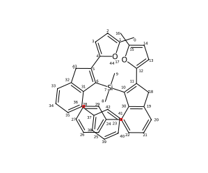 Cc1ccc(C2=C([Si](C)(C)C3=C(c4ccc(C)o4)[CH]c4cccc(-c5ccccc5)c43)c3c(cccc3-c3ccccc3)[CH]2)o1